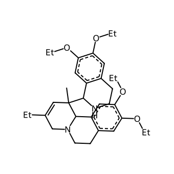 CCOc1cc2c(cc1OCC)C(C1(C)C=C(CC)CN3CCc4cc(OCC)c(OCC)cc4C31)NCC2